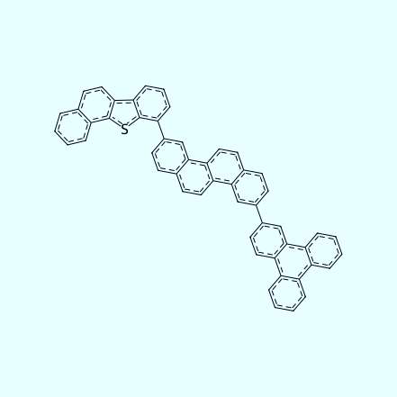 c1ccc2c(c1)ccc1c3cccc(-c4ccc5ccc6c7cc(-c8ccc9c%10ccccc%10c%10ccccc%10c9c8)ccc7ccc6c5c4)c3sc21